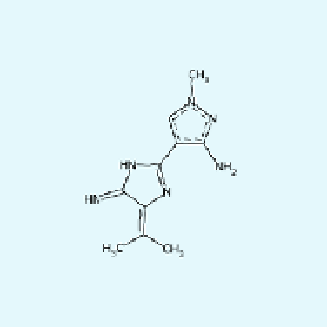 CC(C)=C1N=C(c2cn(C)nc2N)NC1=N